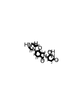 O=C1CC[C@H](N2CC3=C4OC[C@H]5CNCCN5C4=CCC3C2=O)C(=O)N1